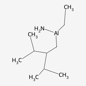 C[CH2][Al]([NH2])[CH2]C(C(C)C)C(C)C